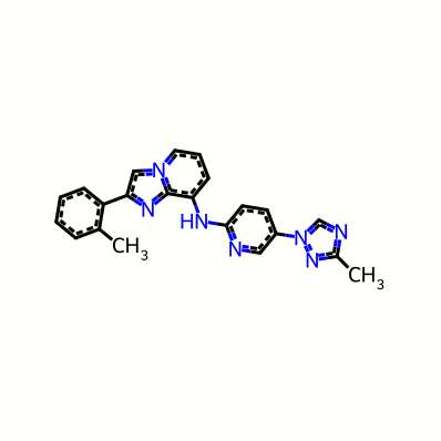 Cc1ncn(-c2ccc(Nc3cccn4cc(-c5ccccc5C)nc34)nc2)n1